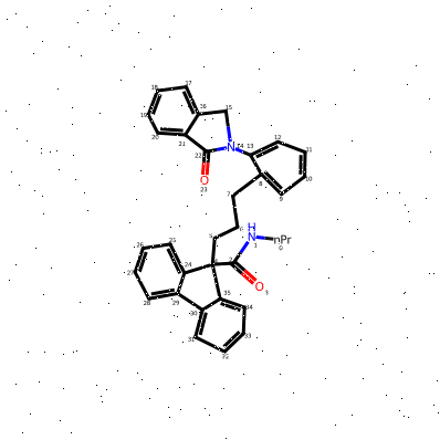 CCCNC(=O)C1(CCCc2ccccc2N2Cc3ccccc3C2=O)c2ccccc2-c2ccccc21